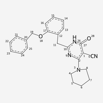 N#Cc1c(N2CCCCC2)nc(Cc2ccccc2OCc2ccccc2)[nH]c1=O